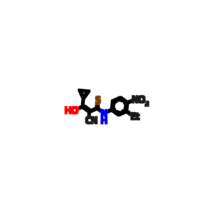 CCc1cc(NC(=S)/C(C#N)=C(/O)C2CC2)ccc1[N+](=O)[O-]